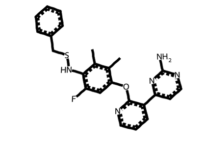 Cc1c(Oc2ncccc2-c2ccnc(N)n2)cc(F)c(NSCc2ccccc2)c1C